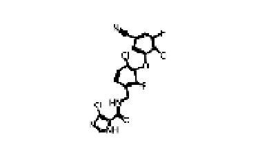 N#Cc1cc(F)c(Cl)c(Oc2c(Cl)ccc(CNC(=O)c3[nH]cnc3Cl)c2F)c1